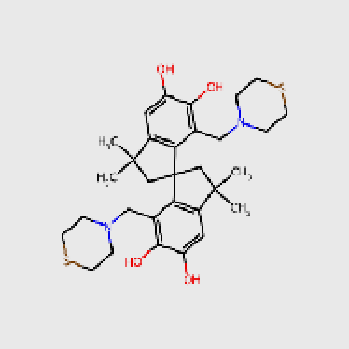 CC1(C)CC2(CC(C)(C)c3cc(O)c(O)c(CN4CCSCC4)c32)c2c1cc(O)c(O)c2CN1CCSCC1